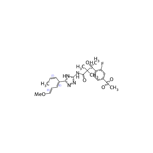 C\C=C/C(=C\C=C\OC)c1nnc(NC(=O)C(C)(C)[SH](C)(=O)c2ccc(S(C)(=O)=O)cc2F)[nH]1